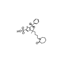 CC(C)(CCCCN1CCCCCC1=O)c1cc(S(=O)(=O)O)sc1S(=O)(=O)c1ccccc1